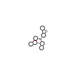 c1ccc(N(c2ccc3oc4ccccc4c3c2)c2ccc3ccccc3c2-c2ccc3ccccc3c2)cc1